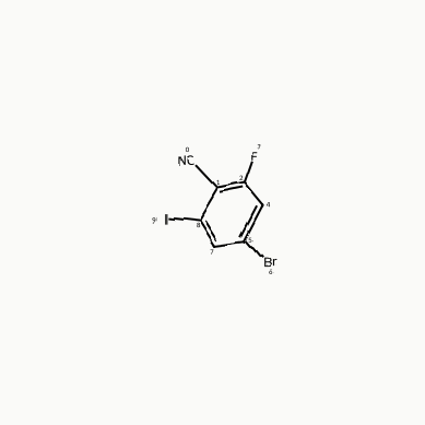 N#Cc1c(F)cc(Br)cc1I